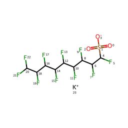 O=S(=O)([O-])C(F)C(F)C(F)C(F)C(F)C(F)C(F)C(F)C(F)F.[K+]